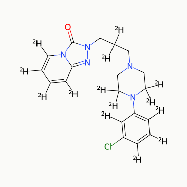 [2H]c1c([2H])c(Cl)c([2H])c(N2C([2H])([2H])CN(CC([2H])([2H])Cn3nc4c([2H])c([2H])c([2H])c([2H])n4c3=O)CC2([2H])[2H])c1[2H]